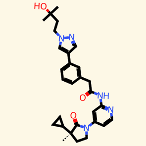 CC(C)(O)CCn1cc(-c2cccc(CC(=O)Nc3cc(N4CC[C@@](C)(C5CC5)C4=O)ccn3)c2)cn1